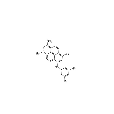 CC(C)c1cc(Nc2cc(C(C)C)c3ccc4c(N)cc(C(C)C)c5ccc2c3c45)cc(C(C)C)c1